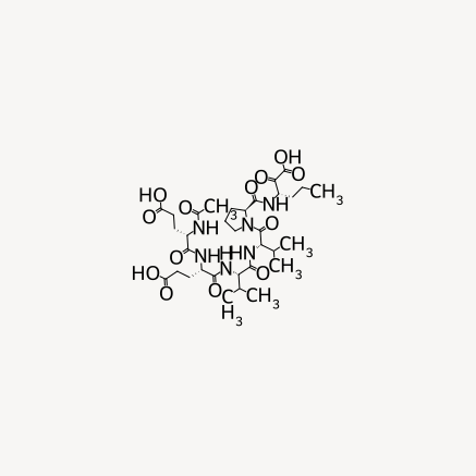 CCC[C@H](NC(=O)[C@@H]1CCCN1C(=O)[C@@H](NC(=O)[C@@H](NC(=O)[C@H](CCC(=O)O)NC(=O)[C@H](CCC(=O)O)NC(C)=O)C(C)C)C(C)C)C(=O)C(=O)O